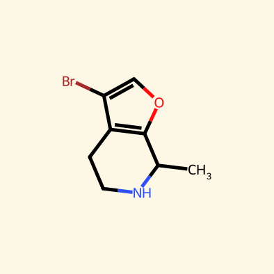 CC1NCCc2c(Br)coc21